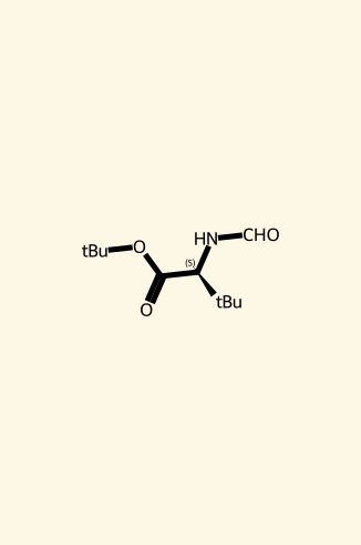 CC(C)(C)OC(=O)[C@@H](NC=O)C(C)(C)C